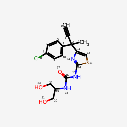 C#CC(C)(c1ccc(Cl)cc1)c1csc(NC(=O)NC(CO)CO)n1